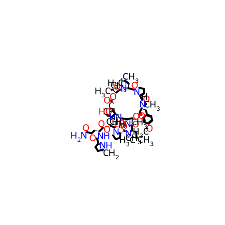 C=C1CCC(C(=O)N[C@H](CCC(N)=O)C(=O)O[C@@H](C)C(=O)N2CCC[C@H]2C(=O)N(C)[C@H](CC(C)C)C(=O)N[C@H]2C(=O)N[C@@H]([C@@H](C)CC)[C@@H](O)CC(=O)O[C@@H](C(C)C)C(=O)N[C@@H](CC(C)C)C(=O)N3CCC[C@H]3C(=O)N(C)[C@@H](Cc3ccc(OC)cc3)C(=O)O[C@H]2C)N1